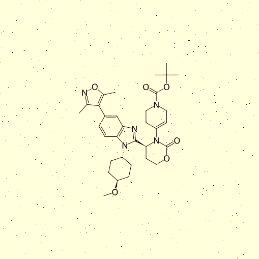 CO[C@H]1CC[C@H](n2c([C@@H]3CCOC(=O)N3C3=CCN(C(=O)OC(C)(C)C)CC3)nc3cc(-c4c(C)noc4C)ccc32)CC1